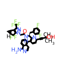 CC(C)(O)C#Cc1ccc(-c2cccc3c(N)nccc23)c([C@H](Cc2cc(F)cc(F)c2)NC(=O)Cn2nc(C(F)(F)F)c3c2C(F)(F)[C@@H]2CC32)n1